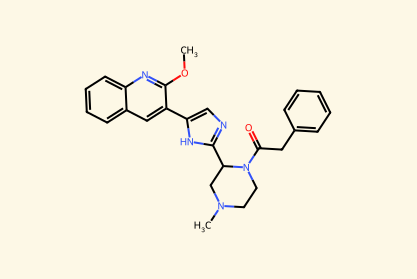 COc1nc2ccccc2cc1-c1cnc(C2CN(C)CCN2C(=O)Cc2ccccc2)[nH]1